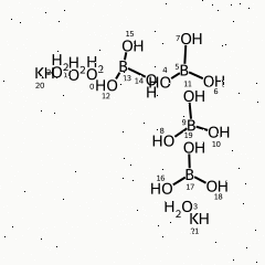 O.O.O.O.OB(O)O.OB(O)O.OB(O)O.OB(O)O.[KH].[KH]